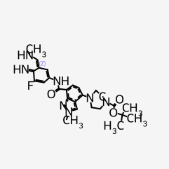 CN/C=C1/C=C(NC(=O)c2ccc(N3CCN(C(=O)OC(C)(C)C)CC3)c3cn(C)nc23)C=C(F)C1=N